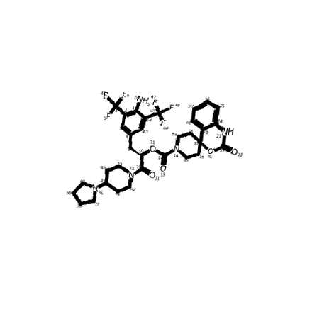 Nc1c(C(F)(F)F)cc(C[C@@H](OC(=O)N2CCC3(CC2)OC(=O)Nc2ccccc23)C(=O)N2CCC(N3CCCC3)CC2)cc1C(F)(F)F